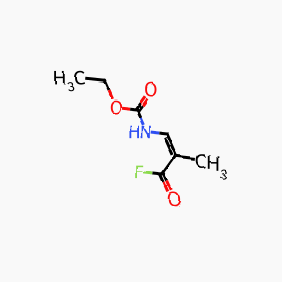 CCOC(=O)NC=C(C)C(=O)F